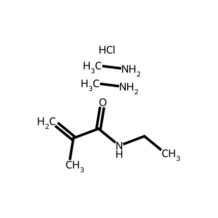 C=C(C)C(=O)NCC.CN.CN.Cl